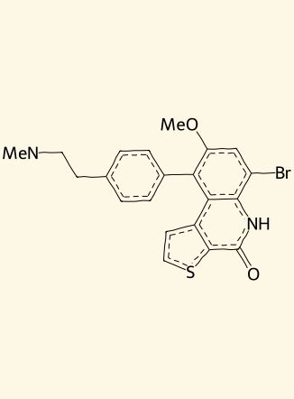 CNCCc1ccc(-c2c(OC)cc(Br)c3[nH]c(=O)c4sccc4c23)cc1